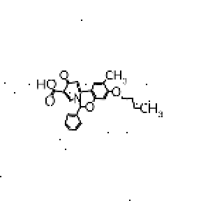 CCCCOc1cc2c(cc1C)-c1cc(=O)c(C(=O)O)cn1C(c1ccccc1)O2